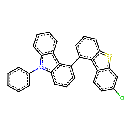 Clc1ccc2c(c1)sc1cccc(-c3cccc4c3c3ccccc3n4-c3ccccc3)c12